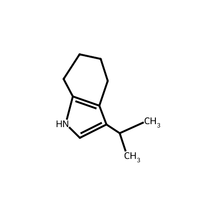 CC(C)c1c[nH]c2c1CCCC2